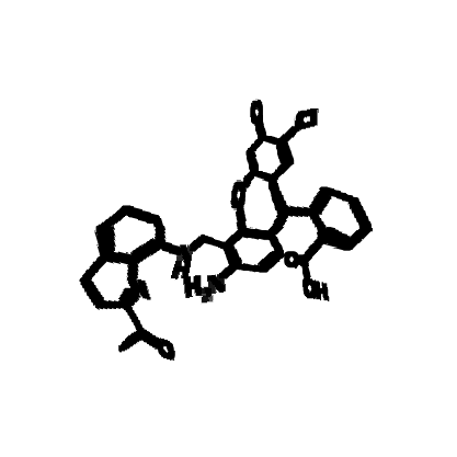 CC(=O)c1ccc2cccc(NCc3c(N)ccc4c(-c5ccccc5C(=O)O)c5cc(Cl)c(=O)cc-5oc34)c2n1